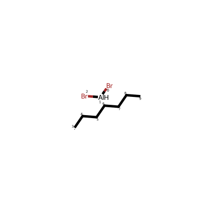 [Br][AlH][Br].[CH2]CCCCCC